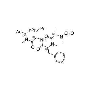 CCC[C@@H](C(C)=O)N(C)C(=O)[C@H](CC(C)C)NC(=O)[C@H](Cc1ccccc1)N(C)C(=O)[C@H](C)N(C)C=O